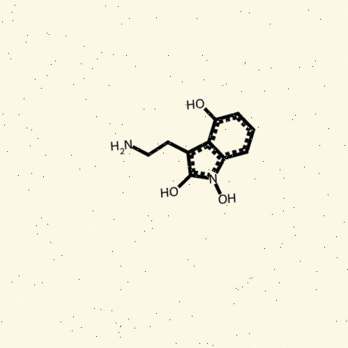 NCCc1c(O)n(O)c2cccc(O)c12